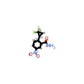 NC(=O)c1cc([N+](=O)[O-])ccc1C1CC1(F)F